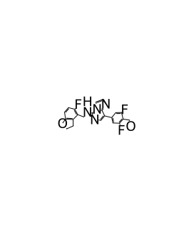 O=Cc1c(F)cc(-c2cnc(NCc3c(F)ccc4c3CCO4)n3ccnc23)cc1F